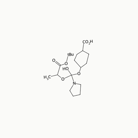 CC(OC(O)(OC1CCC(C(=O)O)CC1)N1CCCC1)C(=O)OC(C)(C)C